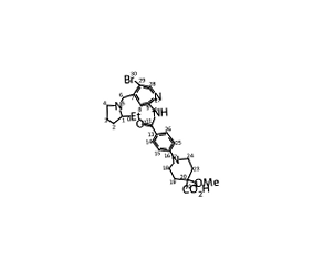 CCC1CCCN1Cc1cc(NC(=O)c2ccc(N3CCC(OC)(C(=O)O)CC3)cc2)ncc1Br